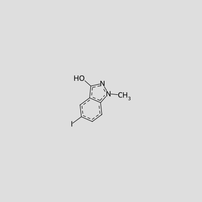 Cn1nc(O)c2cc(I)ccc21